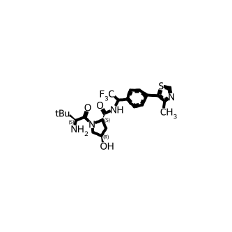 Cc1ncsc1-c1ccc(C(NC(=O)[C@@H]2C[C@@H](O)CN2C(=O)[C@@H](N)C(C)(C)C)C(F)(F)F)cc1